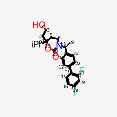 CC(C)C1(CCO)CCN([C@@H](C)c2ccc(-c3ccc(F)cc3F)cc2)C(=O)O1